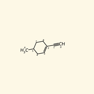 C#CC1=CCC(C)CC1